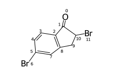 O=C1c2ccc(Br)cc2CC1Br